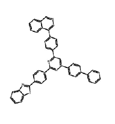 c1ccc(-c2ccc(-c3cc(-c4ccc(-c5cncc6ccccc56)cc4)nc(-c4ccc(-c5nc6ccccc6s5)cc4)n3)cc2)cc1